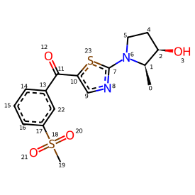 C[C@@H]1[C@H](O)CCN1c1ncc(C(=O)c2cccc(S(C)(=O)=O)c2)s1